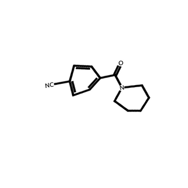 N#Cc1ccc(C(=O)N2CCCCC2)cc1